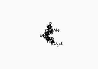 CCOC(=O)C(C)(C)NC(=O)c1cccc(-c2cc3c(C(=O)NC)c(-c4ccc(F)cc4)oc3cc2N(CC)CC)c1